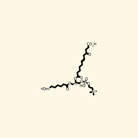 CCCCCCCCCCCCCCCC(=O)OC[C@H](COP(=O)(O)OCC[N+](C)(C)C)OC(=O)CCCCC=CCC(=O)CCC(=O)O